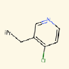 CC(C)Cc1cnccc1Cl